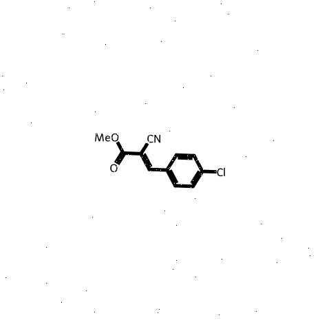 COC(=O)/C(C#N)=C/c1ccc(Cl)cc1